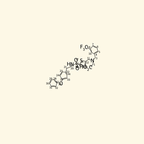 O=C(O)CN(Cc1cccc(C(F)(F)F)c1)Cc1ccc(S(=O)(=O)NCCc2ccc(Oc3ccccc3)cc2)s1